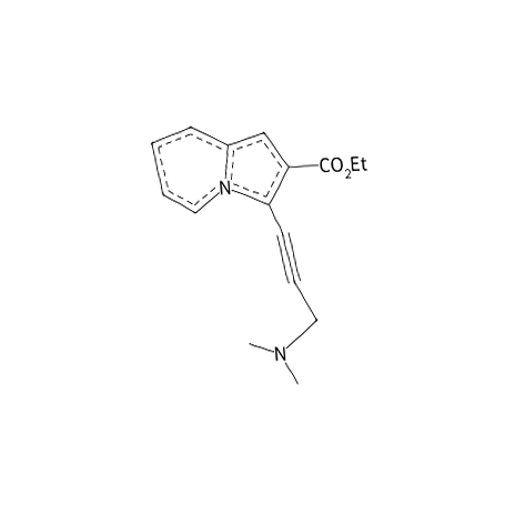 CCOC(=O)c1cc2ccccn2c1C#CCN(C)C